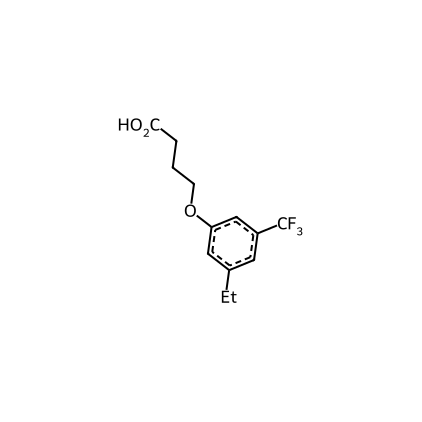 CCc1cc(OCCCC(=O)O)cc(C(F)(F)F)c1